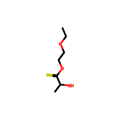 CCOCCOC(=S)C(C)O